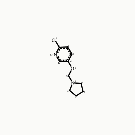 Clc1ccc(OCN2CCCC2)cn1